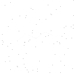 OCC[O][Ti]